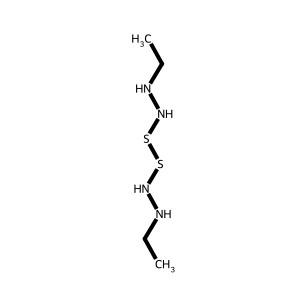 CCNNSSNNCC